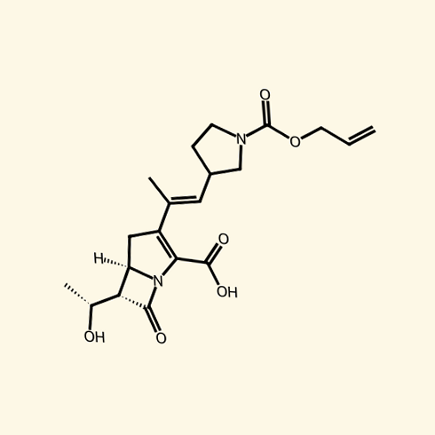 C=CCOC(=O)N1CCC(/C=C(\C)C2=C(C(=O)O)N3C(=O)[C@H]([C@@H](C)O)[C@H]3C2)C1